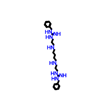 N=C(NCCCNCCCCCNCCCNC(=N)NCc1ccccc1)NCc1ccccc1